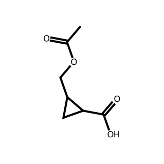 CC(=O)OCC1CC1C(=O)O